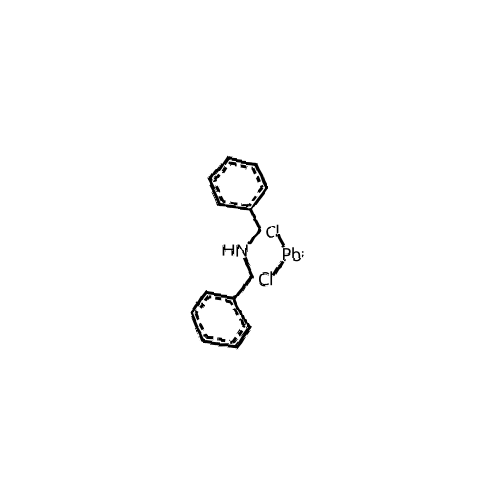 [Cl][Pb][Cl].c1ccc(CNCc2ccccc2)cc1